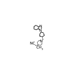 CC1(CC#N)CCN(Cc2ccc(-n3cnc4ccccc43)cc2)CC1